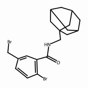 O=C(NCC12CC3CC(CC(C3)C1)C2)c1cc(CBr)ccc1Br